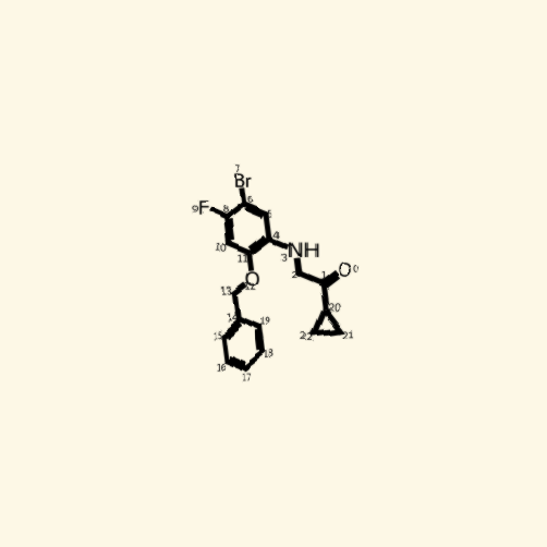 O=C(CNc1cc(Br)c(F)cc1OCc1ccccc1)C1CC1